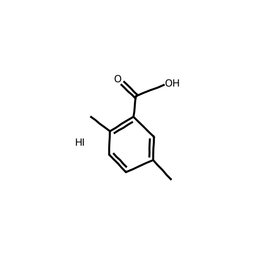 Cc1ccc(C)c(C(=O)O)c1.I